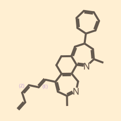 C=C/C=C\C=C\C1=CC(C)=NCC2=C1CCC1=CC(C3C=CC=CC=C3)C=C(C)N=C12